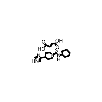 O=C(O)C=CC(=O)O.S=C(NC1CCCCC1)N1CCC(c2c[nH]cn2)CC1